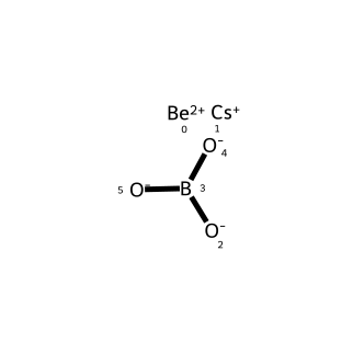 [Be+2].[Cs+].[O-]B([O-])[O-]